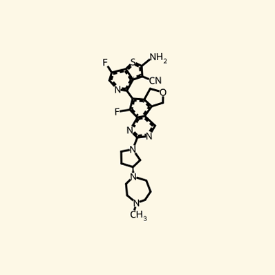 CN1CCCN([C@H]2CCN(c3ncc4c5c(c(-c6ncc(F)c7sc(N)c(C#N)c67)c(F)c4n3)COC5)C2)CC1